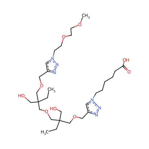 CCC(CO)(COCc1cn(CCCCCC(=O)O)nn1)COCC(CC)(CO)COCc1cn(CCOCCOC)nn1